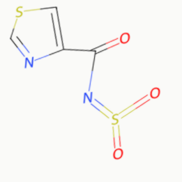 O=C(N=S(=O)=O)c1cscn1